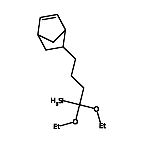 CCOC([SiH3])(CCCC1CC2C=CC1C2)OCC